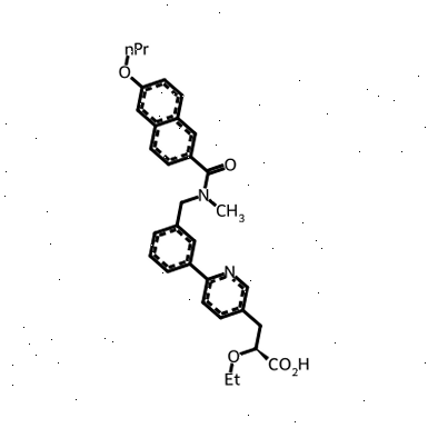 CCCOc1ccc2cc(C(=O)N(C)Cc3cccc(-c4ccc(C[C@H](OCC)C(=O)O)cn4)c3)ccc2c1